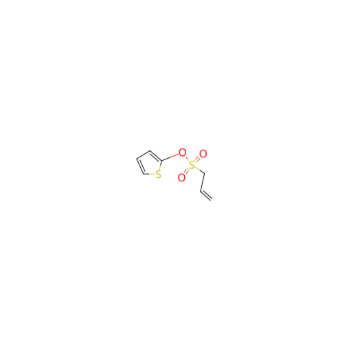 C=CCS(=O)(=O)Oc1cccs1